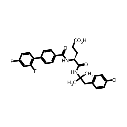 CC(C)(Cc1ccc(Cl)cc1)NC(=O)[C@H](CCC(=O)O)NC(=O)c1ccc(-c2ccc(F)cc2F)cc1